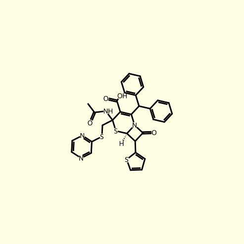 CC(=O)NC1(CSc2cnccn2)S[C@@H]2C(c3cccs3)C(=O)N2C(C(c2ccccc2)c2ccccc2)=C1C(=O)O